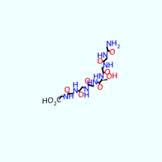 NCC(=O)NCC(=O)NCC(=O)N[C@@H](CO)C(=O)NCC(=O)NCC(=O)NCC(=O)NCC(=O)O